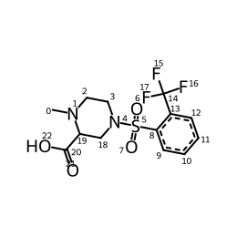 CN1CCN(S(=O)(=O)c2ccccc2C(F)(F)F)CC1C(=O)O